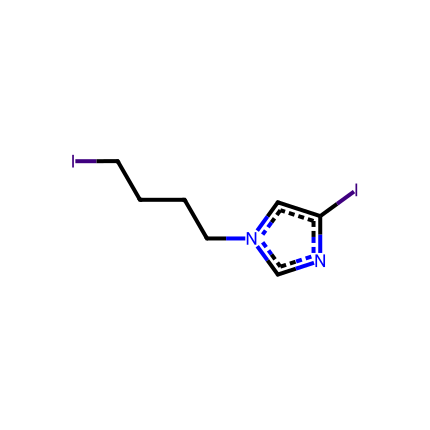 ICCCCn1cnc(I)c1